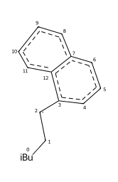 CCC(C)C[CH]c1cccc2ccccc12